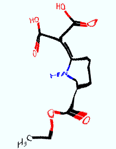 CCOC(=O)[C@@H]1CCC(=C(C(=O)O)C(=O)O)N1